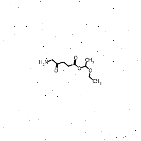 CCOC(C)OC(=O)CCC(=O)CN